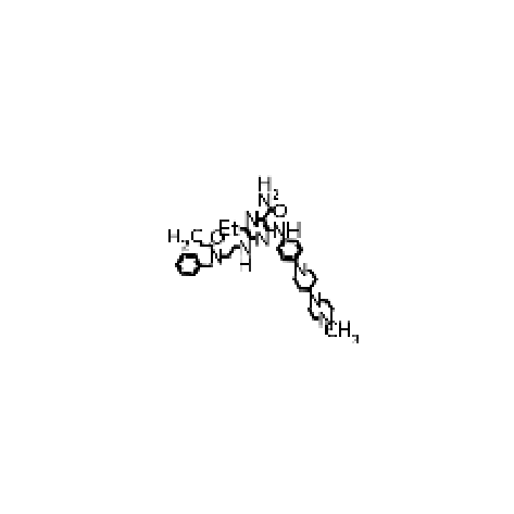 C=CC(=O)N(CCNc1nc(Nc2ccc(N3CCC(N4CCN(C)CC4)CC3)cc2)c(C(N)=O)nc1CC)Cc1ccccc1